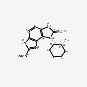 CNc1nc2c(ncc3[nH]c(=O)n([C@H]4CCCC[C@H]4C)c32)[nH]1